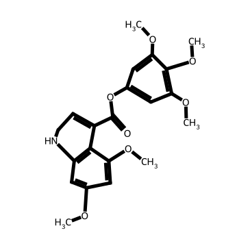 COc1cc2c(c(OC)c1)C(C(=O)Oc1cc(OC)c(OC)c(OC)c1)=CCN2